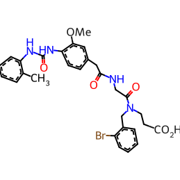 COc1cc(CC(=O)NCC(=O)N(CCC(=O)O)Cc2ccccc2Br)ccc1NC(=O)Nc1ccccc1C